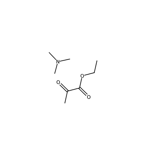 CCOC(=O)C(C)=O.CN(C)C